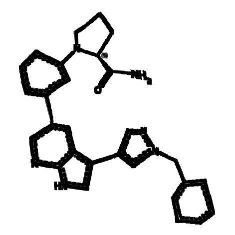 NC(=O)[C@@H]1CCCN1c1cccc(-c2cnc3[nH]cc(-c4cnn(Cc5ccccc5)c4)c3c2)c1